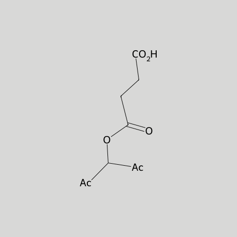 CC(=O)C(OC(=O)CCC(=O)O)C(C)=O